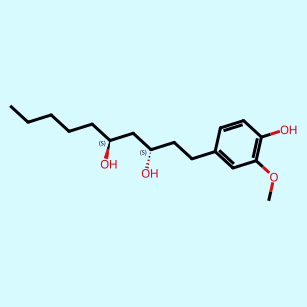 CCCCC[C@H](O)C[C@@H](O)CCc1ccc(O)c(OC)c1